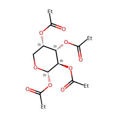 CCC(=O)O[C@@H]1OC[C@H](OC(=O)CC)[C@H](OC(=O)CC)[C@H]1OC(=O)CC